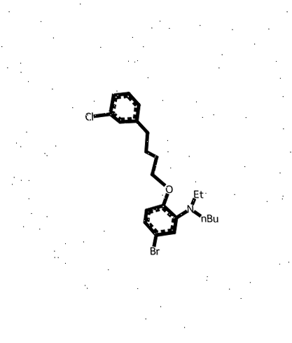 CCCCN(CC)c1cc(Br)ccc1OCCCCc1cccc(Cl)c1